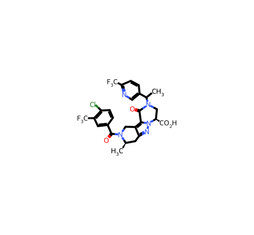 CC(c1ccc(C(F)(F)F)nc1)N1C[C@@H](C(=O)O)n2nc3c(c2C1=O)CN(C(=O)c1ccc(Cl)c(C(F)(F)F)c1)[C@H](C)C3